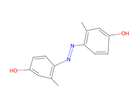 Cc1cc(O)ccc1/N=N/c1ccc(O)cc1C